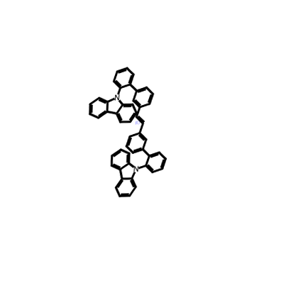 C(=C\c1cccc(-c2ccccc2-n2c3ccccc3c3ccccc32)c1)/c1cccc(-c2ccccc2-n2c3ccccc3c3ccccc32)c1